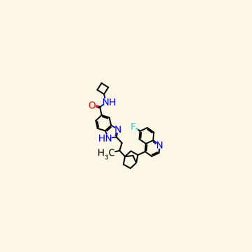 CC(Cc1nc2cc(C(=O)NC3CCC3)ccc2[nH]1)C12CCC(C1)C(c1ccnc3ccc(F)cc13)C2